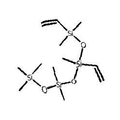 C=C[Si](C)(C)O[Si](C)(C=C)O[Si](C)(C)O[Si](C)(C)C